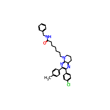 Cc1ccc(-c2nc3c(nc2-c2ccc(Cl)cc2)CCCN3CCCCCCC(=O)NCc2ccccc2)cc1